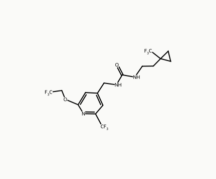 O=C(NCCC1(C(F)(F)F)CC1)NCc1cc(OCC(F)(F)F)nc(C(F)(F)F)c1